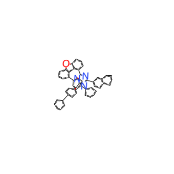 c1ccc(-c2ccc(-c3nc(-c4ccc5ccccc5c4)nc(-c4cccc5oc6cccc(-c7ccc(-c8ccccc8)cc7)c6c45)n3)cc2)cc1